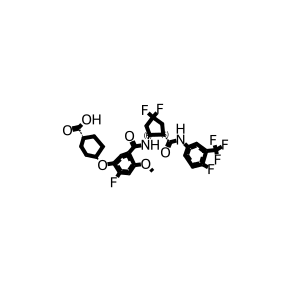 COc1cc(F)c(O[C@H]2CC[C@@H](C(=O)O)CC2)cc1C(=O)N[C@@H]1CC(F)(F)C[C@@H]1C(=O)Nc1ccc(F)c(C(F)(F)F)c1